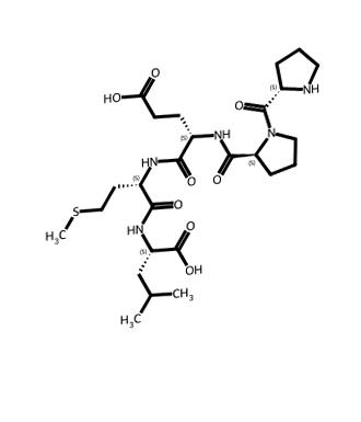 CSCC[C@H](NC(=O)[C@H](CCC(=O)O)NC(=O)[C@@H]1CCCN1C(=O)[C@@H]1CCCN1)C(=O)N[C@@H](CC(C)C)C(=O)O